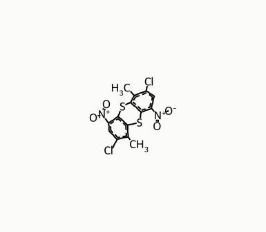 Cc1c(Cl)cc([N+](=O)[O-])c2c1Sc1c([N+](=O)[O-])cc(Cl)c(C)c1S2